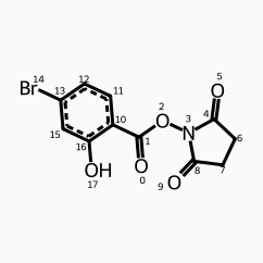 O=C(ON1C(=O)CCC1=O)c1ccc(Br)cc1O